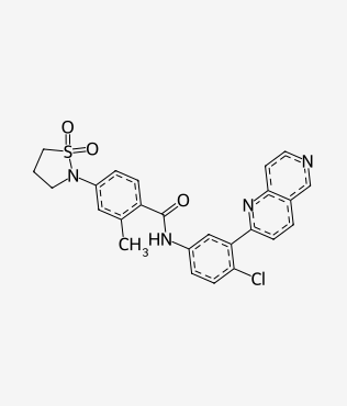 Cc1cc(N2CCCS2(=O)=O)ccc1C(=O)Nc1ccc(Cl)c(-c2ccc3cnccc3n2)c1